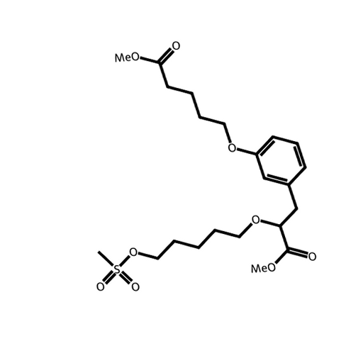 COC(=O)CCCCOc1cccc(CC(OCCCCCOS(C)(=O)=O)C(=O)OC)c1